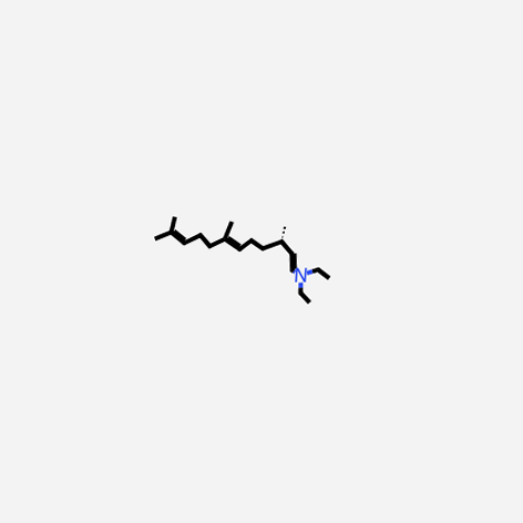 CCN(/C=C/[C@@H](C)CC/C=C(\C)CCC=C(C)C)CC